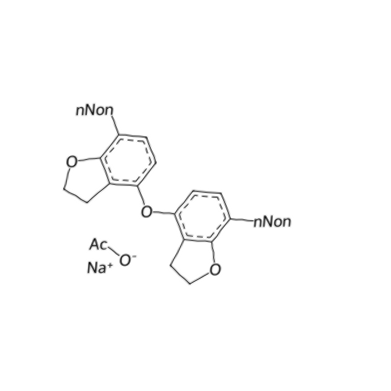 CC(=O)[O-].CCCCCCCCCc1ccc(Oc2ccc(CCCCCCCCC)c3c2CCO3)c2c1OCC2.[Na+]